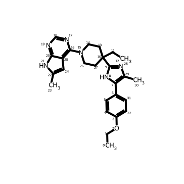 CCOc1ccc(-c2[nH]c(C3(CC)CCN(c4ncnc5[nH]c(C)cc45)CC3)nc2C)cc1